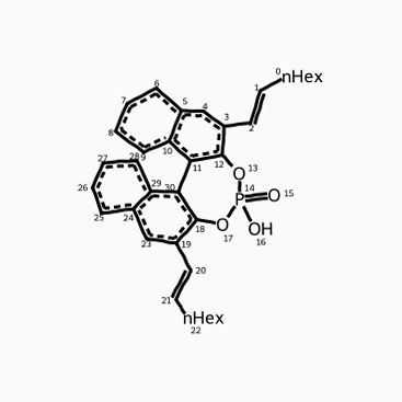 CCCCCCC=Cc1cc2ccccc2c2c1OP(=O)(O)Oc1c(C=CCCCCCC)cc3ccccc3c1-2